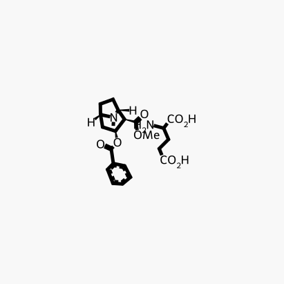 COC(=O)[C@H]1[C@@H](OC(=O)c2ccccc2)C[C@@H]2CC[C@H]1N2C.NC(CCC(=O)O)C(=O)O